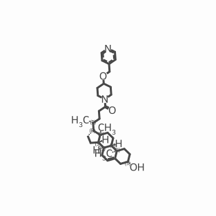 C[C@H](CCC(=O)N1CCC(OCc2ccncc2)CC1)[C@H]1CC[C@H]2[C@@H]3CC=C4C[C@@H](O)CC[C@]4(C)[C@H]3CC[C@]12C